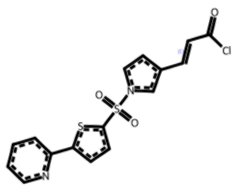 O=C(Cl)/C=C/c1ccn(S(=O)(=O)c2ccc(-c3ccccn3)s2)c1